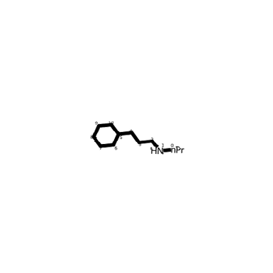 [CH2]CCNCCCC1CCCCC1